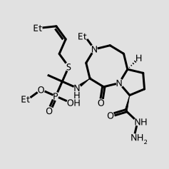 CC/C=C\CSC(C)(N[C@H]1CN(CC)CC[C@H]2CC[C@@H](C(=O)NN)N2C1=O)P(=O)(O)OCC